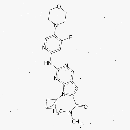 CN(C)C(=O)c1cc2cnc(Nc3cc(F)c(N4CCOCC4)cn3)nc2n1C12CC(C1)C2